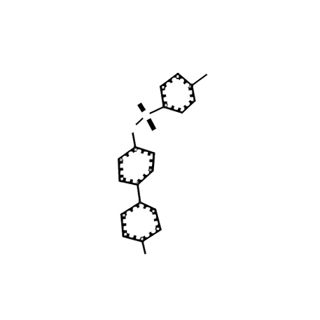 Cc1ccc(S(=O)(=O)Oc2ccc(-c3ccc(Cl)cc3)cc2)cc1